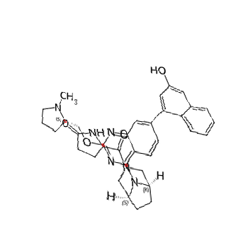 CN1CCC[C@H]1COc1nc(N2[C@@H]3CC[C@H]2CN(C(=O)C2CCC(=O)N2)C3)c2ccc(-c3cc(O)cc4ccccc34)cc2n1